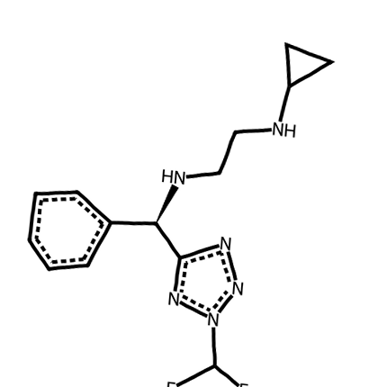 FC(F)n1nnc([C@H](NCCNC2CC2)c2ccccc2)n1